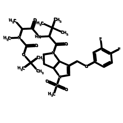 CC(C(=O)NC(C(=O)N1CCC2C1C(COc1ccc(F)c(F)c1)=CN2S(C)(=O)=O)C(C)(C)C)N(C)C(=O)OC(C)(C)C